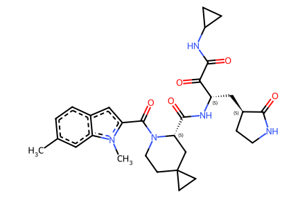 Cc1ccc2cc(C(=O)N3CCC4(CC4)C[C@H]3C(=O)N[C@@H](C[C@@H]3CCNC3=O)C(=O)C(=O)NC3CC3)n(C)c2c1